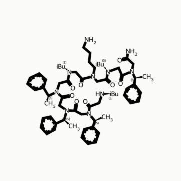 CC[C@H](C)NCC(=O)N(CC(=O)N(CC(=O)N(CC(=O)N(CC(=O)N(CCCCN)CC(=O)N(CC(=O)N(CC(N)=O)[C@@H](C)c1ccccc1)[C@@H](C)CC)[C@@H](C)CC)[C@@H](C)c1ccccc1)[C@@H](C)c1ccccc1)[C@@H](C)c1ccccc1